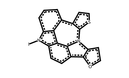 In1c2cccc3c4ccsc4n4c5ccoc5c5ccc1c(c32)c54